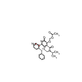 COc1nc(=O)c(OCOC(C)=O)c2n1[C@@H](C(c1ccccc1)c1ccccc1)CN(C(C)C)C2=O